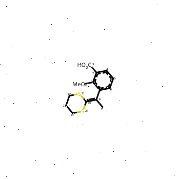 COc1c(C(=O)O)cccc1C(C)=C1SCCCS1